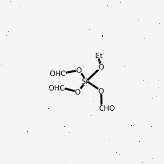 CCO[Si](OC=O)(OC=O)OC=O